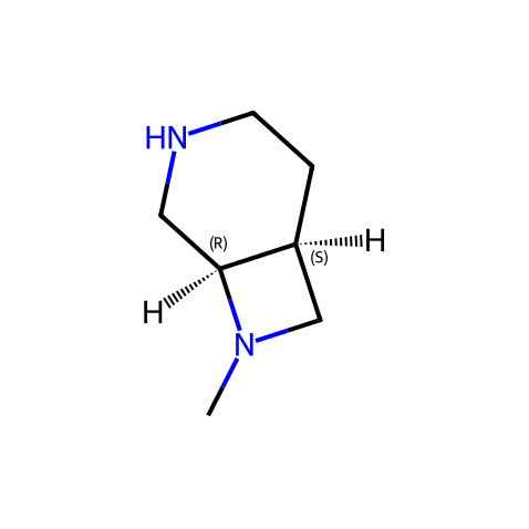 CN1C[C@@H]2CCNC[C@@H]21